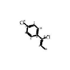 CC=C(Cl)c1ccc(Cl)cc1